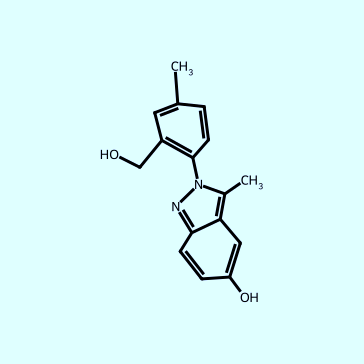 Cc1ccc(-n2nc3ccc(O)cc3c2C)c(CO)c1